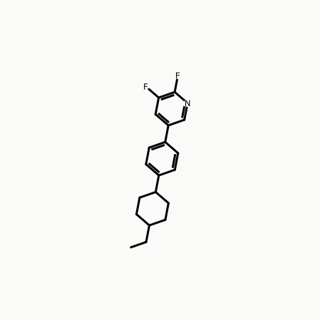 CCC1CCC(c2ccc(-c3cnc(F)c(F)c3)cc2)CC1